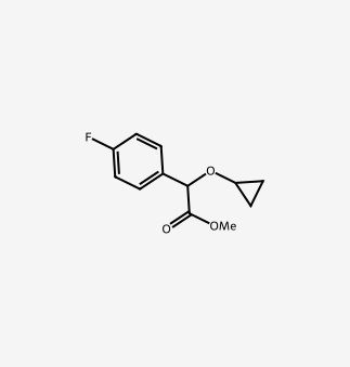 COC(=O)C(OC1CC1)c1ccc(F)cc1